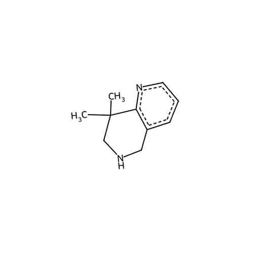 CC1(C)CNCc2cccnc21